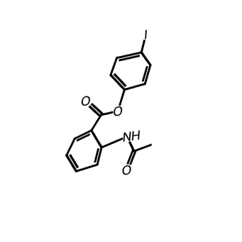 CC(=O)Nc1ccccc1C(=O)Oc1ccc(I)cc1